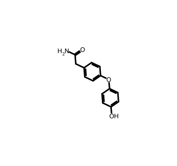 NC(=O)Cc1ccc(Oc2ccc(O)cc2)cc1